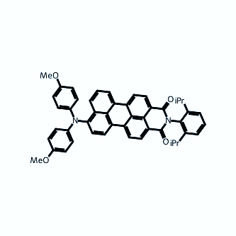 COc1ccc(N(c2ccc(OC)cc2)c2ccc3c4ccc5c6c(ccc(c7cccc2c73)c64)C(=O)N(c2c(C(C)C)cccc2C(C)C)C5=O)cc1